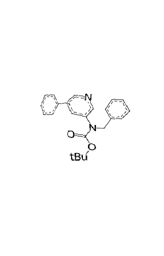 CC(C)(C)OC(=O)N(Cc1ccccc1)c1cncc(-c2ccccc2)c1